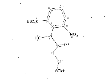 CCCCCCCCOCC(=O)N(C)c1c(C(=O)OCC)cccc1[N+](=O)[O-]